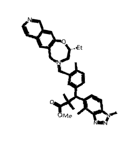 CC[C@@H]1CN(Cc2cc(C(c3ccc4c(nnn4C)c3C)C(C)(C)C(=O)OC)ccc2C)Cc2cc3ccncc3cc2O1